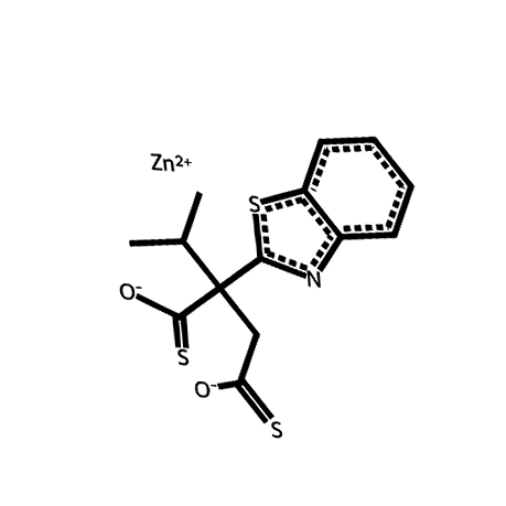 CC(C)C(CC([O-])=S)(C([O-])=S)c1nc2ccccc2s1.[Zn+2]